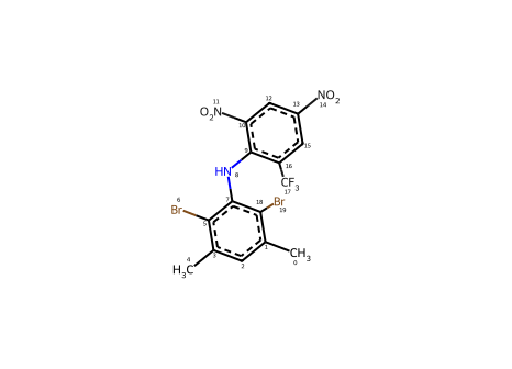 Cc1cc(C)c(Br)c(Nc2c([N+](=O)[O-])cc([N+](=O)[O-])cc2C(F)(F)F)c1Br